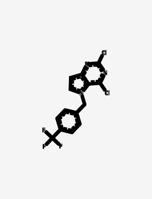 FC(F)(F)c1ccc(Cn2ccc3nc(Cl)nc(Cl)c32)cc1